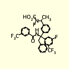 CC(c1cccc(C(Cc2ccccc2)(NC(=O)c2cccc(C(F)(F)F)c2)c2cc(F)cc(C(F)(F)F)c2)c1)N(F)C(=O)O